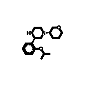 CC(C)Oc1ccccc1[C@@H]1CN([C@H]2CCCOC2)CCN1